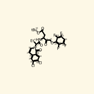 CCC(C(=O)NC(CC(=O)OC(C)(C)C)C(=O)COc1c(F)c(F)cc(F)c1F)n1ccc2cc(Cl)c(Cl)cc2c1=O